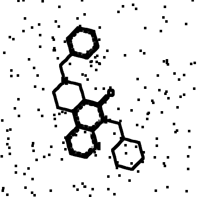 O=c1c2c(c3cccnc3n1CC1CCCCC1)CCN(Cc1ccccc1)C2